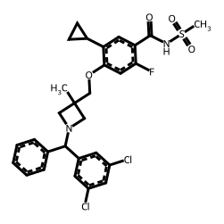 CC1(COc2cc(F)c(C(=O)NS(C)(=O)=O)cc2C2CC2)CN(C(c2ccccc2)c2cc(Cl)cc(Cl)c2)C1